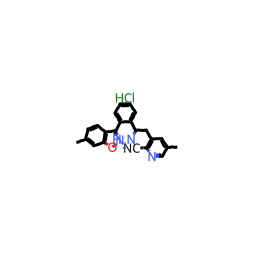 Cc1cnc(C#N)c(CC(N)c2ccccc2-c2noc3cc(C)ccc23)c1.Cl